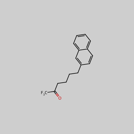 O=C(CCCCc1ccc2ccccc2c1)C(F)(F)F